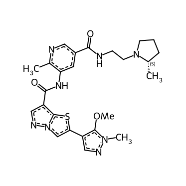 COc1c(-c2cn3ncc(C(=O)Nc4cc(C(=O)NCCN5CCC[C@@H]5C)cnc4C)c3s2)cnn1C